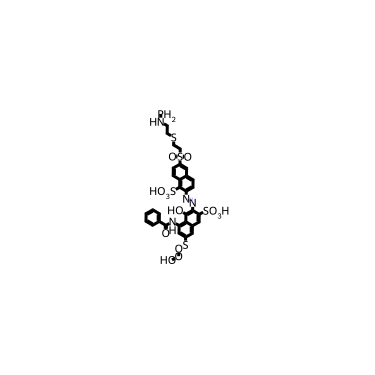 O=C(Nc1cc(SOOO)cc2cc(S(=O)(=O)O)c(/N=N/c3ccc4cc(S(=O)(=O)CCSCCNP)ccc4c3S(=O)(=O)O)c(O)c12)c1ccccc1